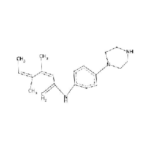 C=C(/C=C(C)\C(C)=C/C)Nc1ccc(N2CCNCC2)cc1